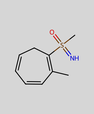 CC1=C(S(C)(=N)=O)CC=CC=C1